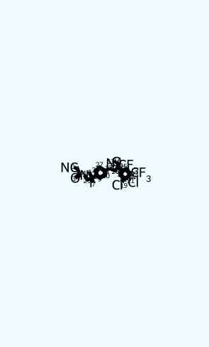 N#CCC(=O)N1CC(F)(c2ccc(C3=NOC(c4cc(Cl)c(Cl)c(C(F)(F)F)c4)(C(F)(F)F)C3)cc2)C1